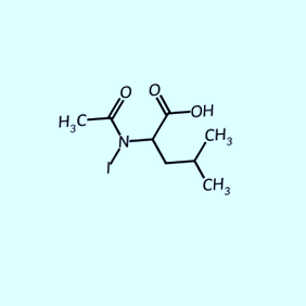 CC(=O)N(I)C(CC(C)C)C(=O)O